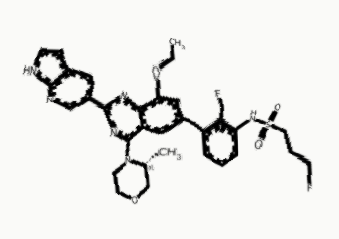 CCOc1cc(-c2cccc(NS(=O)(=O)CCCF)c2F)cc2c(N3CCOC[C@H]3C)nc(-c3cnc4[nH]ccc4c3)nc12